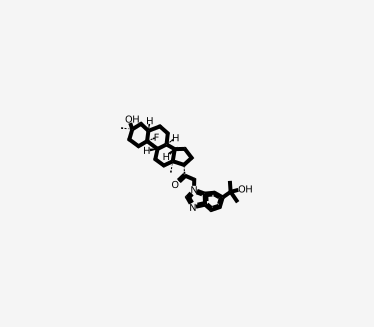 CC(C)(O)c1ccc2ncn(CC(=O)[C@H]3CC[C@H]4[C@@H]5CC[C@@H]6C[C@](C)(O)CC[C@]6(F)[C@H]5CC[C@]34C)c2c1